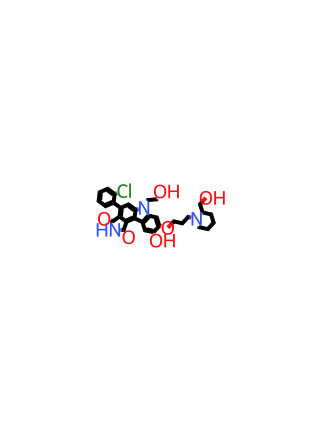 O=C1NC(=O)c2c1c(-c1ccccc1Cl)cc1c2c2cc(O)c(OCCCN3CCCCC3CO)cc2n1CCO